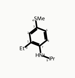 CCc1cc(SC)ccc1NC(C)C